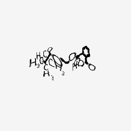 CC(C)C(C)(C)C(=O)OCCOC(=O)c1ccccc1C(=O)O